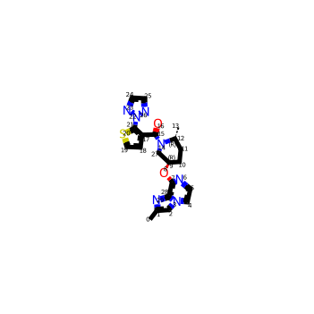 Cc1cn2ccnc(O[C@@H]3CC[C@@H](C)N(C(=O)c4ccsc4-n4nccn4)C3)c2n1